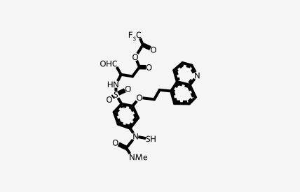 CNC(=O)N(S)c1ccc(S(=O)(=O)NC(C=O)CC(=O)OC(=O)C(F)(F)F)c(OCCc2cccc3ncccc23)c1